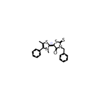 CC1=C(c2ccccc2)N(C)/C(=C2/SC(=S)N(Cc3ccccc3)C2=O)S1